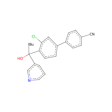 CC(C)(C)C(O)(c1cccnc1)c1ccc(-c2ccc(C#N)cc2)cc1Cl